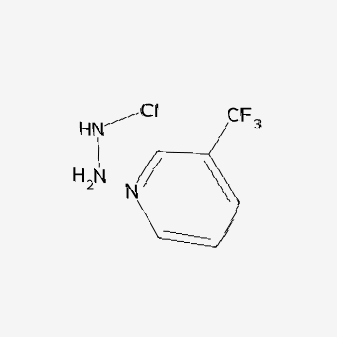 FC(F)(F)c1cccnc1.NNCl